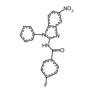 O=C(Nc1nc2cc([N+](=O)[O-])ccc2n1-c1ccccc1)c1ccc(F)cc1